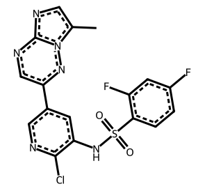 Cc1cnc2ncc(-c3cnc(Cl)c(NS(=O)(=O)c4ccc(F)cc4F)c3)nn12